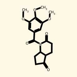 COc1cc(C(=O)N2C(=O)CCC3C(=O)CCC32)cc(OC)c1OC